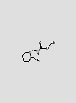 CC(=O)ON1CCCC[C@@H]1CNC(=O)OC(C)(C)C